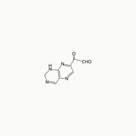 O=CC(=O)c1cnc2c(n1)NCN=C2